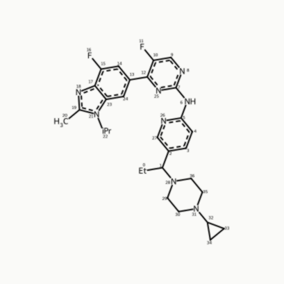 CCC(c1ccc(Nc2ncc(F)c(-c3cc(F)c4nc(C)n(C(C)C)c4c3)n2)nc1)N1CCN(C2CC2)CC1